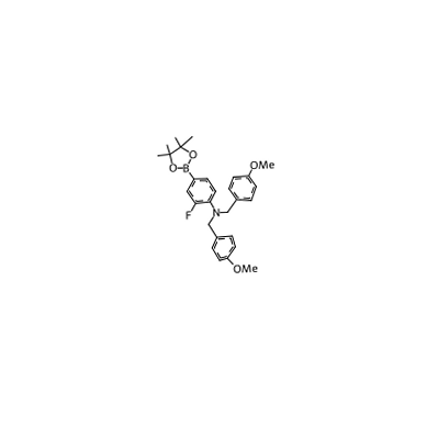 COc1ccc(CN(Cc2ccc(OC)cc2)c2ccc(B3OC(C)(C)C(C)(C)O3)cc2F)cc1